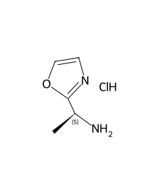 C[C@H](N)c1ncco1.Cl